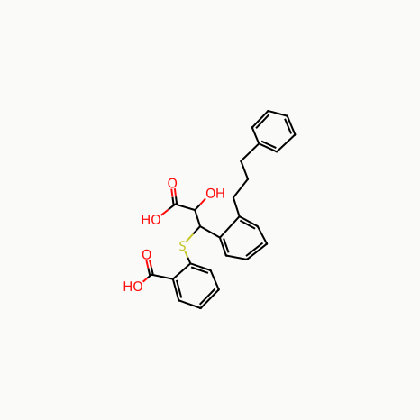 O=C(O)c1ccccc1SC(c1ccccc1CCCc1ccccc1)C(O)C(=O)O